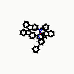 CC1(C)c2ccccc2-c2cccc(N(c3cccc(-c4ccccc4)c3)c3ccc4c(c3)C3(c5ccccc5-c5ccc(N(c6ccccc6)c6ccccc6)cc53)c3ccccc3-4)c21